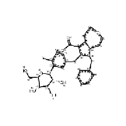 COC(=O)c1c2cccccc-2c(Cc2ccccc2)c1Cc1ccc(C)c([C@@H]2O[C@H](CO)[C@@H](O)[C@H](O)[C@H]2O)c1